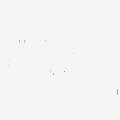 COC(=O)Cc1c(C(=O)OC)ccn1CCCCO